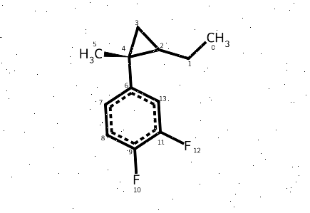 CCC1C[C@@]1(C)c1ccc(F)c(F)c1